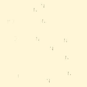 CC[C@@]12COCCN1c1nc(-n3ccnc3-c3ccc(F)cn3)ncc1-n1cnnc12